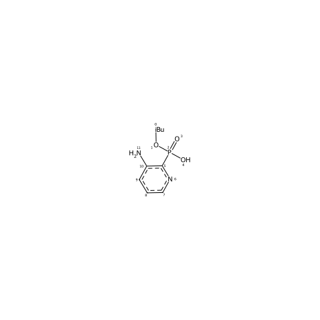 CCC(C)OP(=O)(O)c1ncccc1N